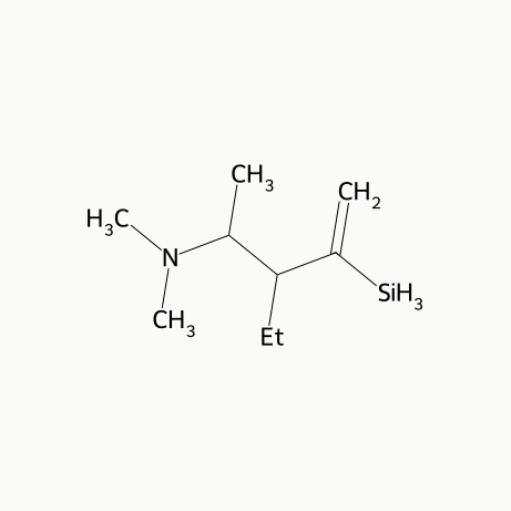 C=C([SiH3])C(CC)C(C)N(C)C